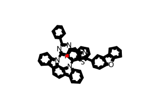 c1ccc(-c2nc(-c3ccccc3)nc(-n3c4ccccc4c4ccc5c6ccccc6n(-c6cccc7nc(-c8ccc9oc%10ccccc%10c9c8)sc67)c5c43)n2)cc1